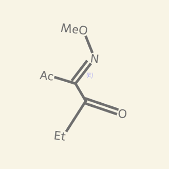 CCC(=O)/C(=N/OC)C(C)=O